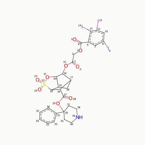 O=C(COC(=O)c1cc(I)cc(I)c1I)OC1C2CC3C1OS(=O)(=O)C3C2C(=O)OC1(c2ccccc2)CCNCC1